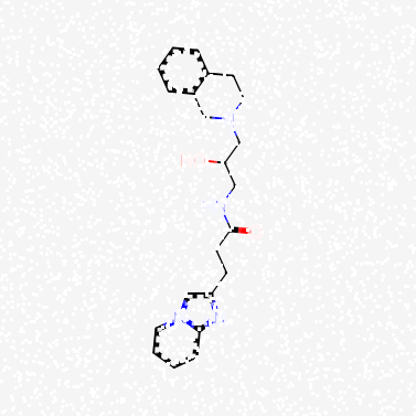 O=C(CCc1cn2ccccc2n1)NCC(O)CN1CCc2ccccc2C1